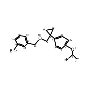 FC(F)Oc1ccc(C2(COCc3cccc(Br)c3)CC2)cc1